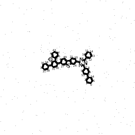 c1ccc(-c2ccc(-c3nc(-c4ccccc4)nc(-c4ccc5c(c4)sc4cc(-c6ccc(-c7ccccc7)c7oc8ccccc8c67)ccc45)n3)cc2)cc1